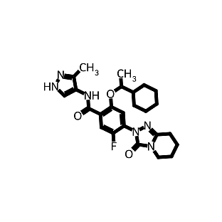 Cc1n[nH]cc1NC(=O)c1cc(F)c(-n2nc3n(c2=O)CCCC3)cc1OC(C)C1CCCCC1